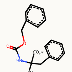 CC(Cc1ccccc1)(NC(=O)OCc1ccccc1)C(=O)O